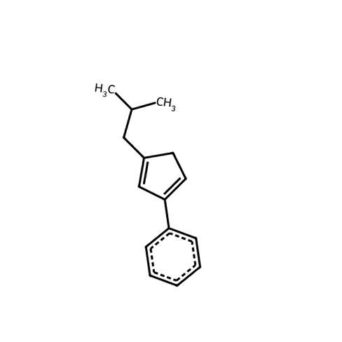 CC(C)CC1=CC(c2ccccc2)=CC1